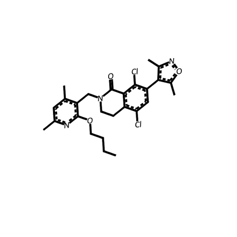 CCCCOc1nc(C)cc(C)c1CN1CCc2c(Cl)cc(-c3c(C)noc3C)c(Cl)c2C1=O